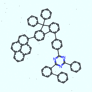 c1ccc(-c2nc(-c3ccc(-c4cccc5c4-c4ccc(-c6ccc7ccc8cccc9ccc6c7c89)cc4C5(c4ccccc4)c4ccccc4)cc3)nc(-c3ccccc3-c3ccccc3)n2)cc1